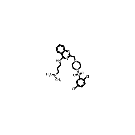 CN(C)CCCNc1nc(CN2CCN(S(=O)(=O)c3cc(Cl)ccc3Cl)CC2)nc2ccccc12